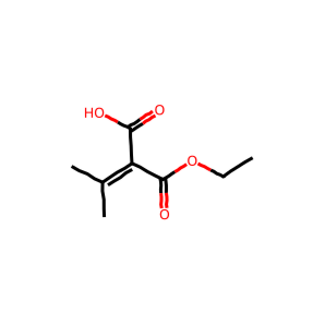 CCOC(=O)C(C(=O)O)=C(C)C